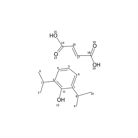 CC(C)c1cccc(C(C)C)c1O.O=C(O)/C=C/C(=O)O